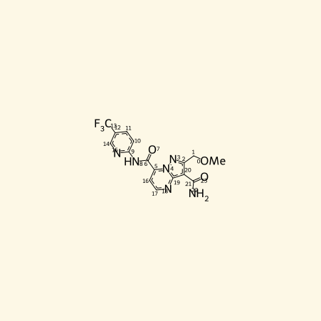 COCc1nn2c(C(=O)Nc3ccc(C(F)(F)F)cn3)ccnc2c1C(N)=O